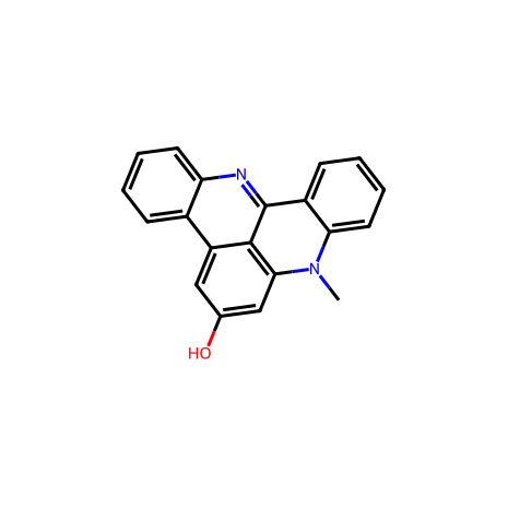 CN1c2ccccc2-c2nc3ccccc3c3cc(O)cc1c23